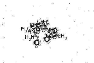 CC(C)[C@H](NC(=O)[C@@H](N)Cc1ccccc1)C(=O)N[C@@H](C)C(=O)N1CCC[C@H]1C(=O)N[C@@H](Cc1ccccc1)C(=O)N1CCCC1[C@@H](C)O